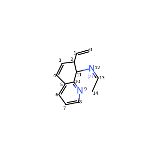 C=CC1C=Cc2cccnc2C1/N=C\C